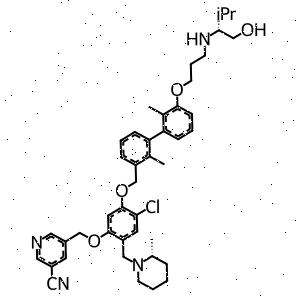 Cc1c(COc2cc(OCc3cncc(C#N)c3)c(CN3CCCC[C@H]3C)cc2Cl)cccc1-c1cccc(OCCCN[C@@H](CO)C(C)C)c1C